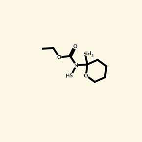 CCOC(=O)N(S)C1([SiH3])CCCCO1